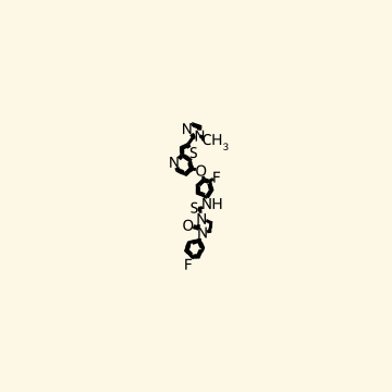 Cn1ccnc1-c1cc2nccc(Oc3ccc(NC(=S)N4CCN(c5ccc(F)cc5)C4=O)cc3F)c2s1